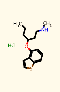 CCCC(CCNC)Oc1cccc2sccc12.Cl